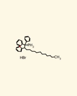 Br.CCCCCCCCCCCCC(c1ccccc1)C(P)(c1ccccc1)c1ccccc1